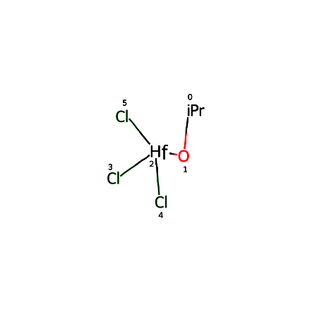 CC(C)[O][Hf]([Cl])([Cl])[Cl]